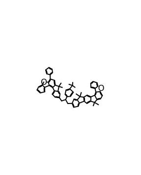 CC(C)(C)c1ccc(C(Cc2ccc3c(c2)C(C)(C)c2cc4c(cc2-3)C(C)(C)c2ccc3oc5ccccc5c3c2-4)Cc2ccc3c(c2)C(C)(C)c2cc(-c4ccccc4)c4oc5ccccc5c4c2-3)cc1